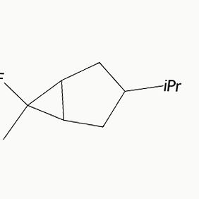 CC(C)C1CC2C(C1)C2(C)F